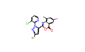 Cc1cc(I)cc2c(=O)oc(-c3cc(Br)nn3-c3ncccc3Cl)nc12